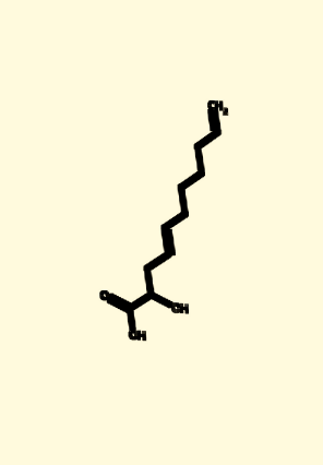 C=CCCCCC=CCC(O)C(=O)O